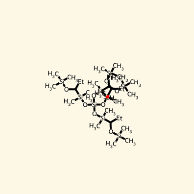 CCC(O[Si](C)(C)C)[Si](C)(C)O[Si](O[Si](C)(C)C(CC)O[Si](C)(C)C)(O[Si](C)(C)C(CC)O[Si](C)(C)C)O[Si](C)(C)C(CC)O[Si](C)(C)C